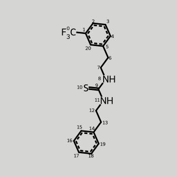 FC(F)(F)c1cccc(CCNC(=S)NCCc2ccccc2)c1